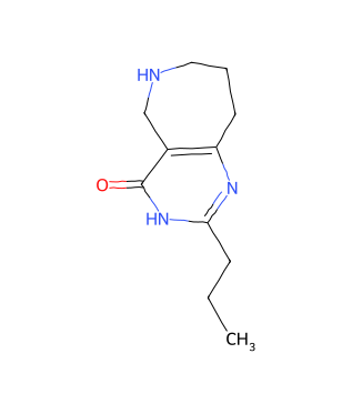 CCCc1nc2c(c(=O)[nH]1)CNCCC2